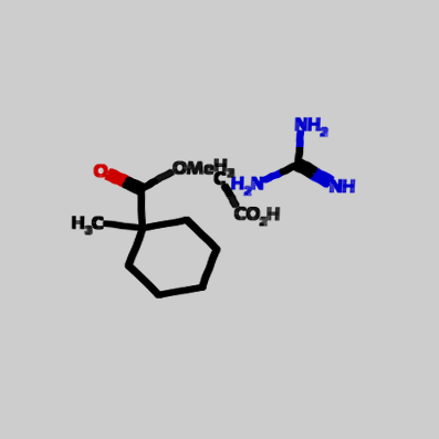 CC(=O)O.COC(=O)C1(C)CCCCC1.N=C(N)N